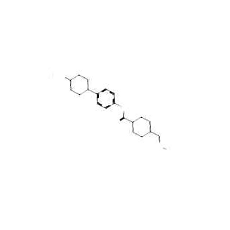 [CH2+][CH-]CC1CCC(C(=O)Oc2ccc(C3CCC(C)CC3)cc2)CC1